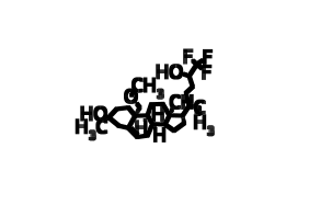 COC[C@]12CC[C@](C)(O)CC1=CC[C@@H]1[C@@H]2CC[C@]2(C)[C@@H]([C@H](C)CCC(O)C(F)(F)F)CC[C@@H]12